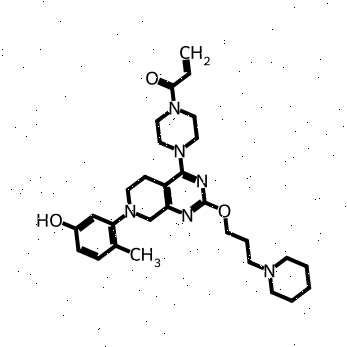 C=CC(=O)N1CCN(c2nc(OCCCN3CCCCC3)nc3c2CCN(c2cc(O)ccc2C)C3)CC1